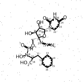 [N-]=[N+]=N[C@]1(CO[PH](=O)N(O)C(Cc2ccccc2)C(=O)O)O[C@@H](n2ccc(=O)[nH]c2=O)[C@H](O)[C@@H]1O